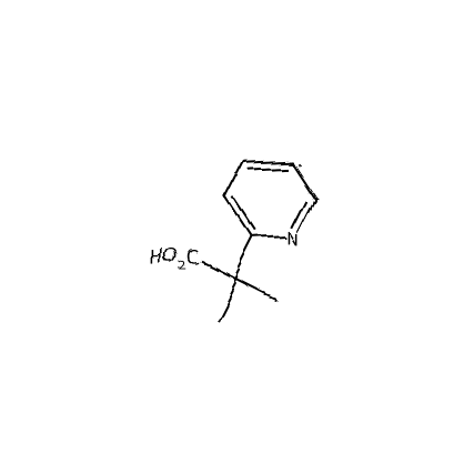 CC(C)(C(=O)O)c1cc[c]cn1